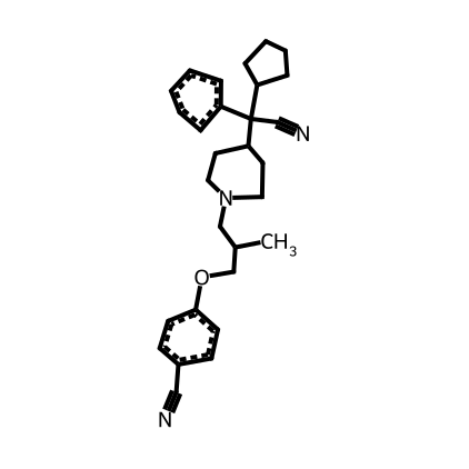 CC(COc1ccc(C#N)cc1)CN1CCC(C(C#N)(c2ccccc2)C2CCCC2)CC1